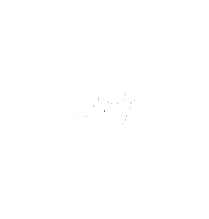 CC(C)CNC1CC(N)[C@@H](O[C@H]2OC([C@@H](C)O)[C@@H](O)C(O)[C@@H]2N)C(O)[C@@H]1O